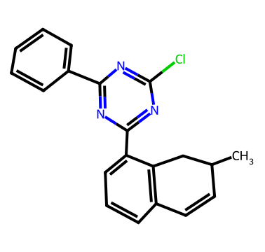 CC1C=Cc2cccc(-c3nc(Cl)nc(-c4ccccc4)n3)c2C1